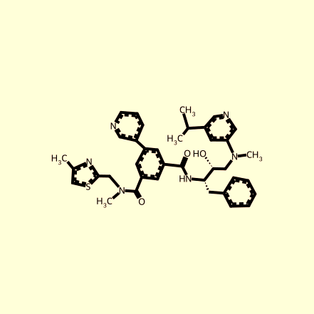 Cc1csc(CN(C)C(=O)c2cc(C(=O)N[C@@H](Cc3ccccc3)[C@H](O)CN(C)c3cncc(C(C)C)c3)cc(-c3cccnc3)c2)n1